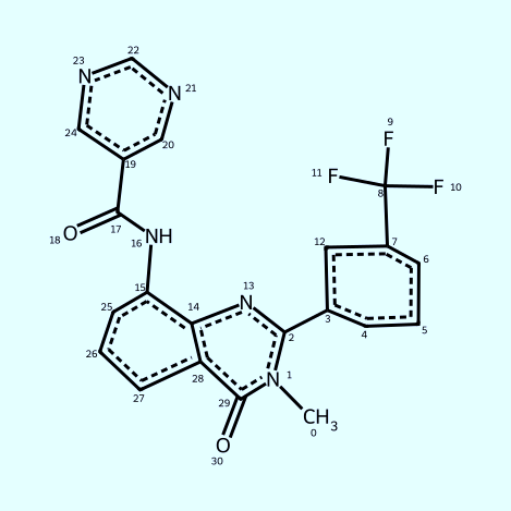 Cn1c(-c2cccc(C(F)(F)F)c2)nc2c(NC(=O)c3cncnc3)cccc2c1=O